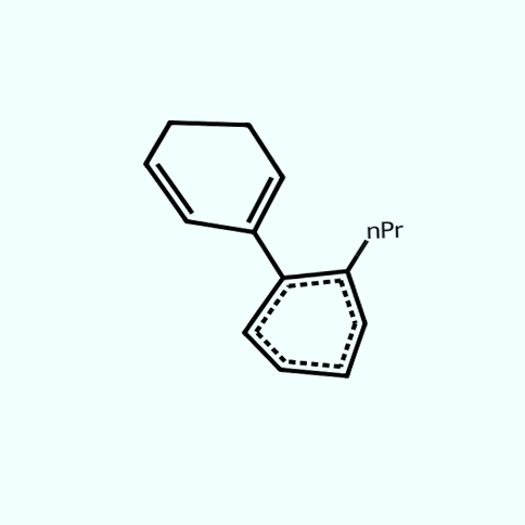 CCCc1ccccc1C1=CCCC=C1